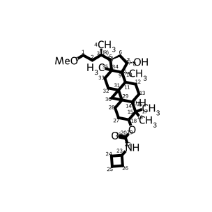 COCC[C@@H](C)[C@H]1C[C@H](O)[C@@]2(C)C3CC[C@H]4C(C)(C)C(OC(=O)NC5CCC5)CCC45CC35CCC12C